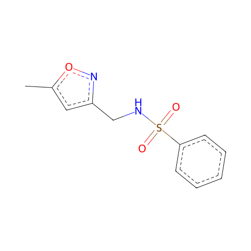 Cc1cc(CNS(=O)(=O)c2ccccc2)no1